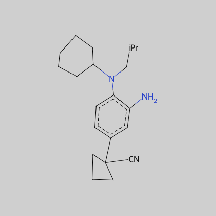 CC(C)CN(c1ccc(C2(C#N)CCC2)cc1N)C1CCCCC1